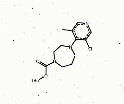 Cc1cncc(Cl)c1N1CCCN(C(=O)OC(C)(C)C)CC1